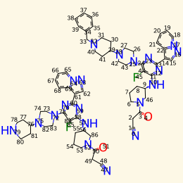 N#CCC(=O)N1CCC[C@@H](Nc2nc(-c3cnn4ccccc34)nc(N3CCN(C4CCN(Cc5ccccc5)CC4)CC3)c2F)C1.N#CCC(=O)N1CCC[C@@H](Nc2nc(-c3cnn4ccccc34)nc(N3CCN(C4CCNCC4)CC3)c2F)C1